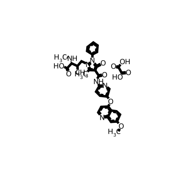 CN[C@@H](C(=O)O)C(C)Cn1c(C)c(C(=O)Nc2ccc(Oc3ccnc4cc(OC)ccc34)cn2)c(=O)n1-c1ccccc1.O=C(O)C(=O)O